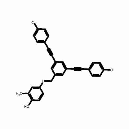 Cc1cc(OCc2cc(C#Cc3ccc(Cl)cc3)cc(C#Cc3ccc(Cl)cc3)c2)ccc1O